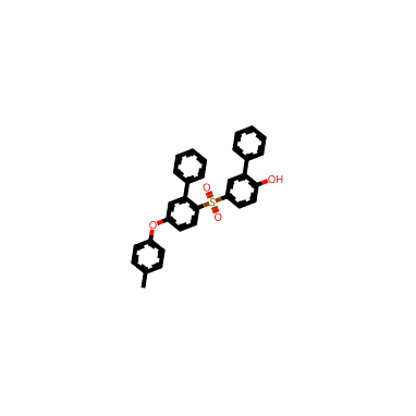 Cc1ccc(Oc2ccc(S(=O)(=O)c3ccc(O)c(-c4ccccc4)c3)c(-c3ccccc3)c2)cc1